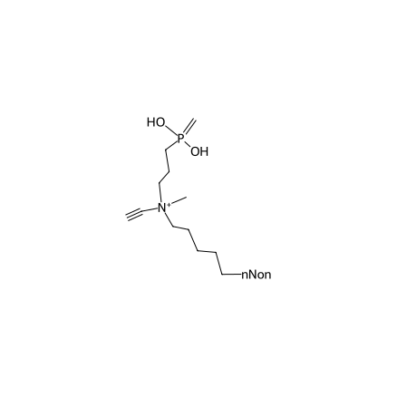 C#C[N+](C)(CCCCCCCCCCCCCC)CCCP(=C)(O)O